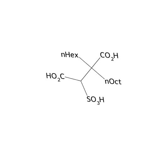 CCCCCCCCC(CCCCCC)(C(=O)O)C(C(=O)O)S(=O)(=O)O